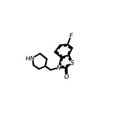 O=c1sc2cc(F)ccc2n1CC1CCNCC1